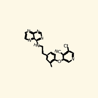 Cc1cc(CCNc2ncnc3nccnc23)ccc1Oc1cncc(Cl)c1C#N